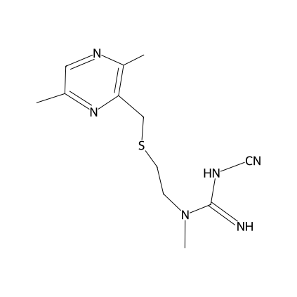 Cc1cnc(C)c(CSCCN(C)C(=N)NC#N)n1